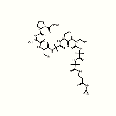 CCCCCCCC[C@H](NC(=O)[C@@H]1CCCN1C(=O)CCCCC)C(=O)N[C@@H](CC(C)C)C(=O)NC(C)(C)C(=O)N[C@@H](CC(C)C)C(=O)N[C@@H](CC(C)C)C(=O)NC(C)(C)C(=O)NC(C)(C)C(=O)NCCC(=O)NC1CC1